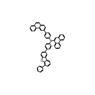 c1ccc(-c2cccc3c2oc2ccc(-c4ccc(N(c5ccc(-c6ccc7ccc8ccccc8c7c6)cc5)c5cc6ccccc6c6ccccc56)cc4)cc23)cc1